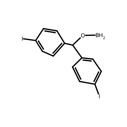 BOC(c1ccc(I)cc1)c1ccc(I)cc1